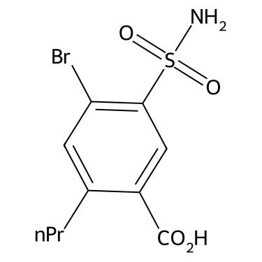 CCCc1cc(Br)c(S(N)(=O)=O)cc1C(=O)O